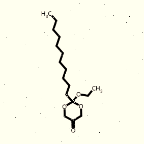 CCCCCCCCCCCC1(OCC)OCC(=O)CO1